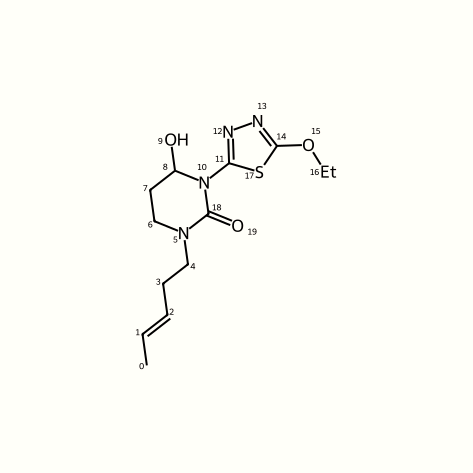 CC=CCCN1CCC(O)N(c2nnc(OCC)s2)C1=O